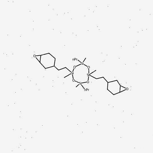 CCC[Si]1(C)O[Si](C)(CCC2CCC3OC3C2)O[Si](C)(CCC)O[Si](C)(CCC2CCC3OC3C2)O1